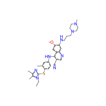 CCn1c(Sc2ccc(Nc3c(C#N)cnc4cc(NCCCN5CCN(C)CC5)c(OC)cc34)cc2C)nc(C)c1C